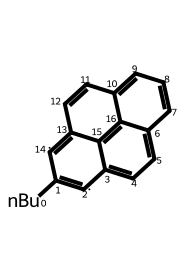 CCCCc1[c]c2ccc3cccc4ccc([c]1)c2c34